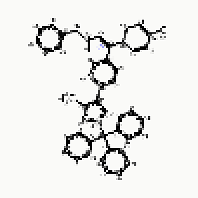 Cc1nn(C(c2ccccc2)(c2ccccc2)c2ccccc2)cc1-c1ccc(/C(=C\NCc2ccccc2)C2C=CC(Cl)=CC2)cn1